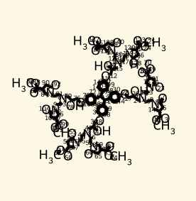 COC(=O)C1CC(=O)N(CCN(CCN2CC(C(=O)OC)CC2=O)CC(O)COc2ccc(C(c3ccc(OCC(O)CN(CCN4CC(C(=O)OC)CC4=O)CCN4CC(C(=O)OC)CC4=O)cc3)C(c3ccc(OCC(O)CN(CCN4CC(C(=O)OC)CC4=O)CCN4CC(C(=O)OC)CC4=O)cc3)c3ccc(OCC(O)CN(CCN4CC(C(=O)OC)CC4=O)CCN4CC(C(=O)OC)CC4=O)cc3)cc2)C1